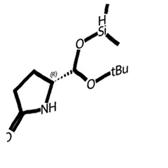 C[SiH](C)OC(OC(C)(C)C)[C@H]1CCC(=O)N1